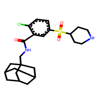 O=C(NCC12CC3CC(CC(C3)C1)C2)c1cc(S(=O)(=O)C2CCNCC2)ccc1Cl